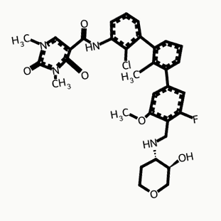 COc1cc(-c2cccc(-c3cccc(NC(=O)c4cn(C)c(=O)n(C)c4=O)c3Cl)c2C)cc(F)c1CN[C@H]1CCOC[C@@H]1O